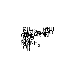 Nc1nc2c(ncn2[C@@H]2O[C@H](CO)[C@@H](F)[C@H]2OP(=O)(O)OCC2=C(O)C[C@H](n3cnc4c(=O)[nH]cnc43)O2)c(=O)[nH]1